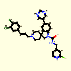 O=C(NCc1ccnc(F)c1)N1CC2(CCN(C/C=C/c3ccc(Cl)c(Cl)c3)CC2)c2cc(-c3cncnc3)ccc21